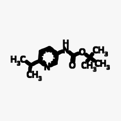 CC(C)c1ccc(NC(=O)OC(C)(C)C)cn1